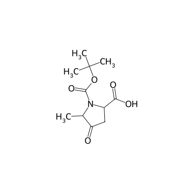 CC1C(=O)CC(C(=O)O)N1C(=O)OC(C)(C)C